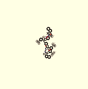 C=C(/C=C/C=C1/N(C)c2ccc3ccccc3c2C1(C)C)C(Cc1ccc(CC2(Cc3ccc([N+](=O)[O-])cc3)C(/C=C/C=C3/N(C)c4ccc5ccccc5c4C3(C)C)=[N+](C)c3ccc([N+](=O)[O-])cc32)cc1)(Cc1ccc([N+](=O)[O-])cc1)c1cc([N+](=O)[O-])ccc1C